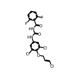 O=C(NC(=O)c1c(F)cccc1F)Nc1cc(Cl)c(OC/C=C/Cl)c(Cl)c1